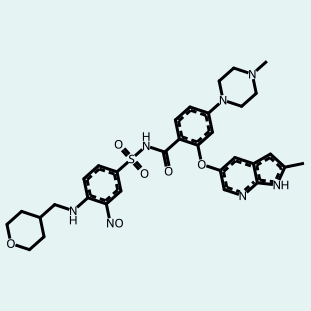 Cc1cc2cc(Oc3cc(N4CCN(C)CC4)ccc3C(=O)NS(=O)(=O)c3ccc(NCC4CCOCC4)c(N=O)c3)cnc2[nH]1